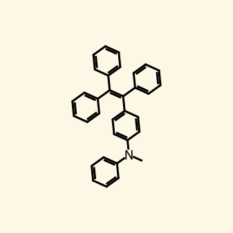 CN(c1ccccc1)c1ccc(C(=C(c2ccccc2)c2ccccc2)c2ccccc2)cc1